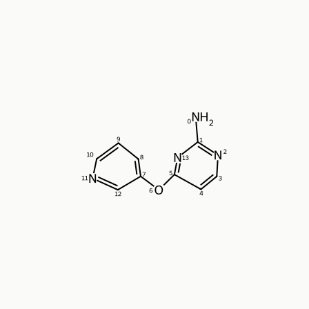 Nc1nccc(Oc2cccnc2)n1